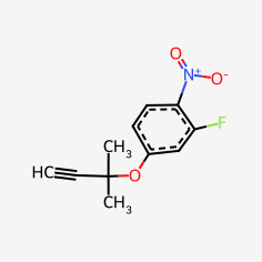 C#CC(C)(C)Oc1ccc([N+](=O)[O-])c(F)c1